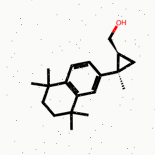 CC1(C)CCC(C)(C)c2cc([C@]3(C)C[C@@H]3CO)ccc21